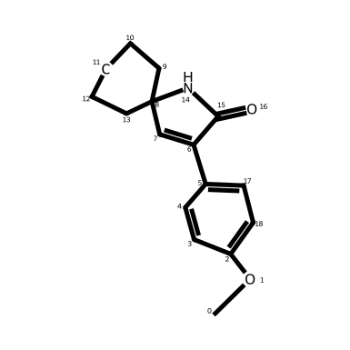 COc1ccc(C2=CC3(CCCCC3)NC2=O)cc1